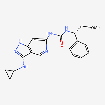 COC[C@@H](NC(=O)Nc1cc2[nH]nc(NC3CC3)c2cn1)c1ccccc1